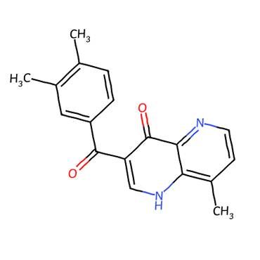 Cc1ccc(C(=O)c2c[nH]c3c(C)ccnc3c2=O)cc1C